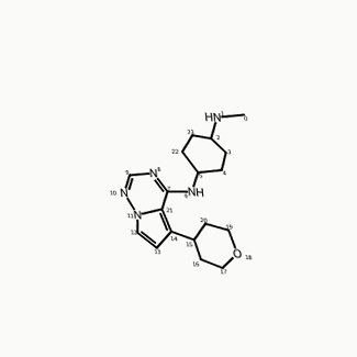 CNC1CCC(Nc2ncnn3ccc(C4CCOCC4)c23)CC1